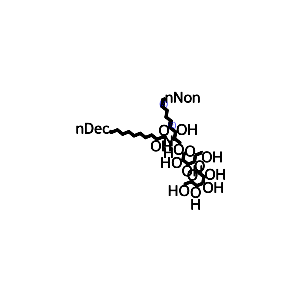 CCCCCCCCC/C=C\CC/C=C/C(O)C(COC1OC(CO)C(OC2OC(CO)C(O)C(O)C2O)C(O)C1O)NC(=O)C(O)CCCCCCCCCCCCCCCCCC